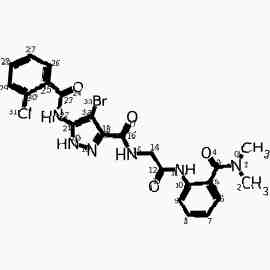 CN(C)C(=O)c1ccccc1NC(=O)CNC(=O)c1n[nH]c(NC(=O)c2ccccc2Cl)c1Br